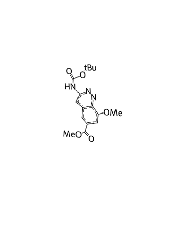 COC(=O)c1cc(OC)c2nnc(NC(=O)OC(C)(C)C)cc2c1